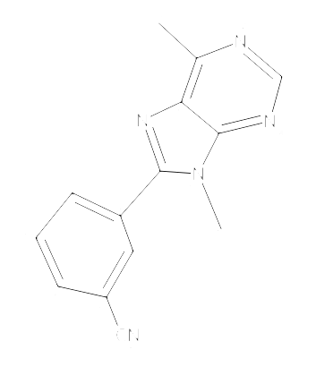 Cc1ncnc2c1nc(-c1cccc(C#N)c1)n2C